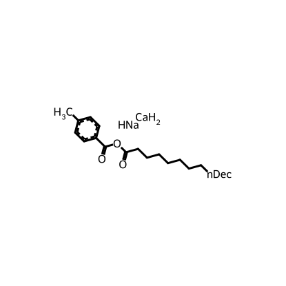 CCCCCCCCCCCCCCCCCC(=O)OC(=O)c1ccc(C)cc1.[CaH2].[NaH]